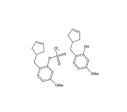 COc1ccc(CC2CC=CC2)c(O)c1.COc1ccc(CC2CC=CC2)c(OS(=O)(=O)C(F)(F)F)c1